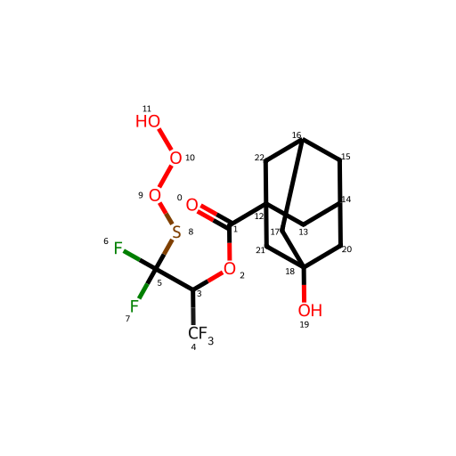 O=C(OC(C(F)(F)F)C(F)(F)SOOO)C12CC3CC(CC(O)(C3)C1)C2